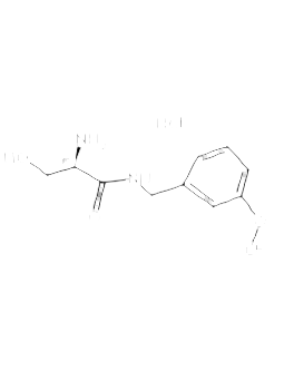 Cl.N[C@H](CO)C(=O)NCc1cccc(OC(F)(F)F)c1